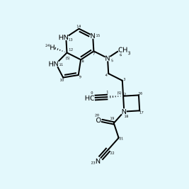 C#C[C@]1(CCN(C)C2=C3C=CN[C@H]3NC=N2)CCN1C(=O)CC#N